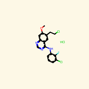 COc1cc2ncnc(Nc3cccc(Cl)c3F)c2cc1CCCl.Cl